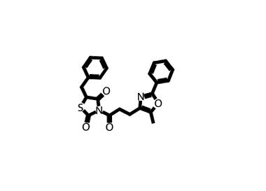 Cc1oc(-c2ccccc2)nc1CCC(=O)N1C(=O)SC(Cc2ccccc2)C1=O